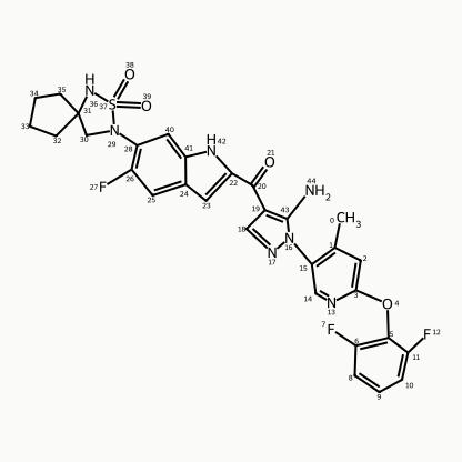 Cc1cc(Oc2c(F)cccc2F)ncc1-n1ncc(C(=O)c2cc3cc(F)c(N4CC5(CCCC5)NS4(=O)=O)cc3[nH]2)c1N